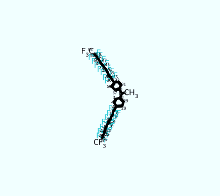 CC(c1ccc(C(F)(F)C(F)(F)C(F)(F)C(F)(F)C(F)(F)C(F)(F)C(F)(F)C(F)(F)F)cc1)c1ccc(C(F)(F)C(F)(F)C(F)(F)C(F)(F)C(F)(F)C(F)(F)C(F)(F)C(F)(F)F)cc1